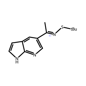 C/C(=N\SC(C)(C)C)c1cnc2[nH]ccc2c1